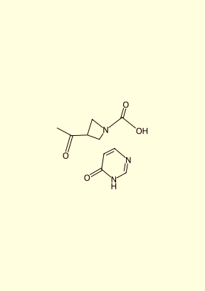 CC(=O)C1CN(C(=O)O)C1.O=c1ccnc[nH]1